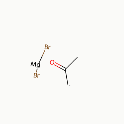 [Br][Mg][Br].[CH2]C(C)=O